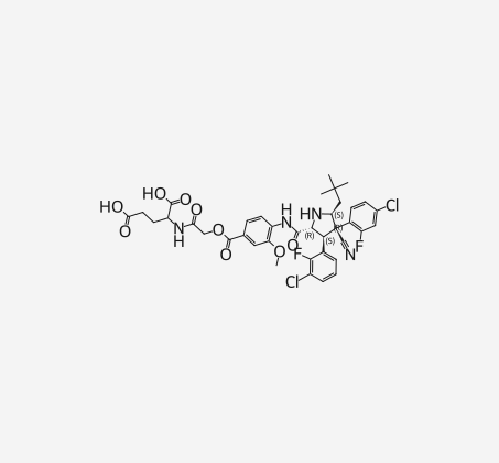 COc1cc(C(=O)OCC(=O)NC(CCC(=O)O)C(=O)O)ccc1NC(=O)[C@@H]1N[C@@H](CC(C)(C)C)[C@](C#N)(c2ccc(Cl)cc2F)[C@H]1c1cccc(Cl)c1F